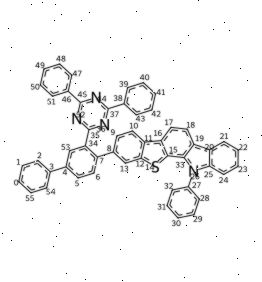 c1ccc(-c2ccc(-c3ccc4c(c3)sc3c4ccc4c5ccccc5n(-c5ccccc5)c43)c(-c3nc(-c4ccccc4)nc(-c4ccccc4)n3)c2)cc1